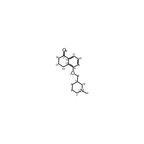 CN1CCCC(COc2cccc3c2CCCC3=O)C1